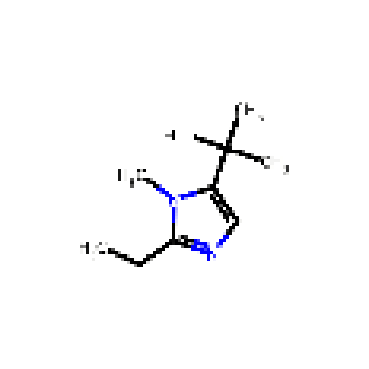 CCc1ncc(C(C)(C)C)n1C